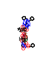 CO[C@@H]1[C@H](O[Si](C)(C)C(C)(C)C)[C@@H](CO[P@]2(=S)OC[C@H]3O[C@@H](n4ccc(=O)n(COCc5ccccc5)c4=O)[C@H](F)[C@@H]3O2)O[C@H]1n1cnc2c(N(Cc3ccccc3)Cc3ccccc3)ncnc21